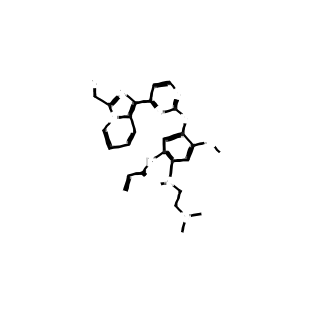 C=CC(=O)Nc1cc(Nc2nccc(-c3nc(CN)n4ccccc34)n2)c(OC)cc1N(C)CCN(C)C